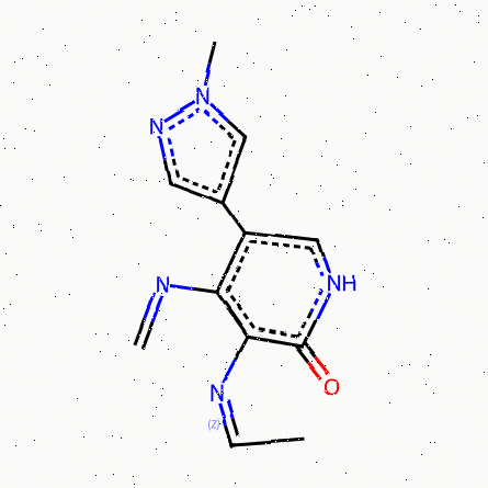 C=Nc1c(-c2cnn(C)c2)c[nH]c(=O)c1/N=C\C